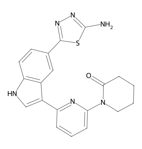 Nc1nnc(-c2ccc3[nH]cc(-c4cccc(N5CCCCC5=O)n4)c3c2)s1